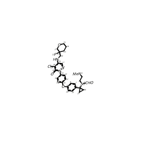 CNCCN(C=O)C1(c2ccc(Oc3ccc(-n4ncc(NCC5(F)CCCOC5)c(Cl)c4=O)cn3)cc2)CC1